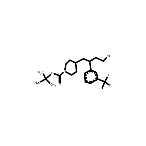 CC(C)(C)OC(=O)N1CCC(CC(CCO)c2cccc(C(F)(F)F)c2)CC1